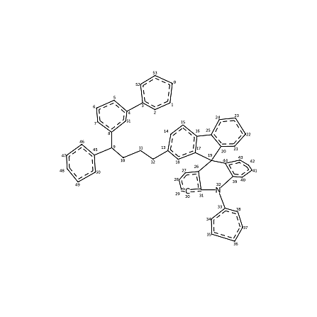 c1ccc(-c2cccc(C(CCCc3ccc4c(c3)C3(c5ccccc5-4)c4ccccc4N(c4ccccc4)c4ccccc43)c3ccccc3)c2)cc1